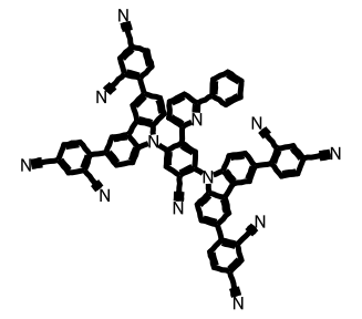 N#Cc1ccc(-c2ccc3c(c2)c2cc(-c4ccc(C#N)cc4C#N)ccc2n3-c2cc(-c3cccc(-c4ccccc4)n3)c(-n3c4ccc(-c5ccc(C#N)cc5C#N)cc4c4cc(-c5ccc(C#N)cc5C#N)ccc43)cc2C#N)c(C#N)c1